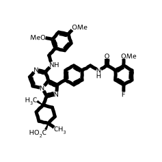 COc1ccc(CNc2nccn3c2c(-c2ccc(CNC(=O)c4cc(F)ccc4OC)cc2)nc3[C@]2(C)CC[C@@](C)(C(=O)O)CC2)c(OC)c1